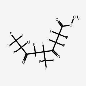 COC(=O)C(F)(F)C(F)(F)C(=O)C(F)(C(F)(F)F)C(F)(F)C(=O)C(F)(Cl)C(F)(F)Cl